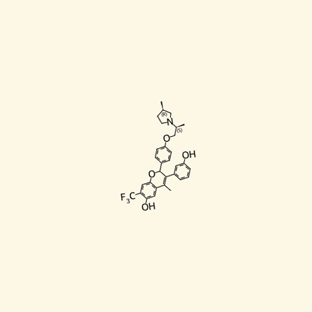 CC1=C(c2cccc(O)c2)C(c2ccc(OC[C@H](C)N3CC[C@@H](C)C3)cc2)Oc2cc(C(F)(F)F)c(O)cc21